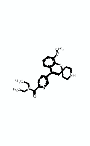 CCN(CC)C(=O)c1ccc(C2=CC3(CCNCC3)Oc3c(OC)cccc32)cn1